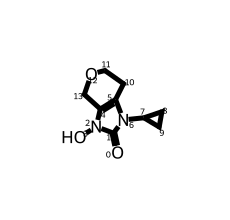 O=c1n(O)c2c(n1C1CC1)CCOC2